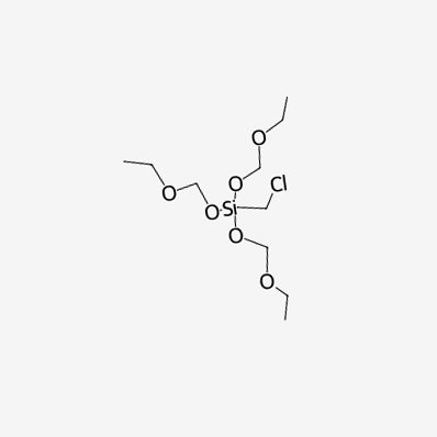 CCOCO[Si](CCl)(OCOCC)OCOCC